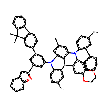 Cc1cc2c3c(c1)N(c1ccc(C(C)(C)C)cc1-c1ccccc1)c1cc4c(cc1B3c1cc(C(C)(C)C)ccc1N2c1cc(-c2ccc3c(c2)C(C)(C)c2ccccc2-3)cc(-c2cc3ccccc3o2)c1)OCCO4